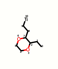 CCC1OCCOC1C[CH2][Ti]